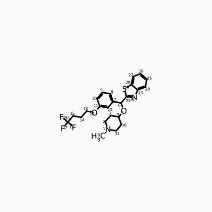 CN1CCC(OC(c2cccc(OCCCC(F)(F)F)c2)c2nc3ccccc3s2)CC1